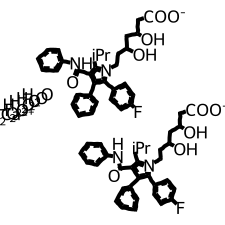 CC(C)c1c(C(=O)Nc2ccccc2)c(-c2ccccc2)c(-c2ccc(F)cc2)n1CCC(O)CC(O)CC(=O)[O-].CC(C)c1c(C(=O)Nc2ccccc2)c(-c2ccccc2)c(-c2ccc(F)cc2)n1CCC(O)CC(O)CC(=O)[O-].O.O.O.O.O.O.[Ca+2]